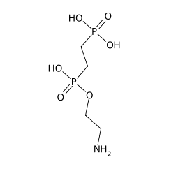 NCCOP(=O)(O)CCP(=O)(O)O